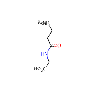 CC(=O)NCCC(=O)NCC(=O)O